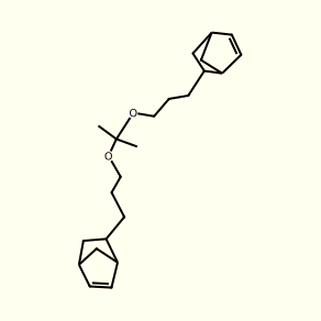 CC(C)(OCCCC1CC2C=CC1C2)OCCCC1CC2C=CC1C2